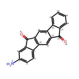 Nc1ccc2c(c1)c(=O)c1cc3c(cc12)c(=O)c1ccccc13